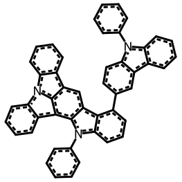 c1ccc(-n2c3ccccc3c3cc(-c4cccc5c4c4cc6c7ccccc7n7c8ccccc8c(c4n5-c4ccccc4)c67)ccc32)cc1